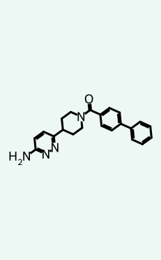 Nc1ccc(C2CCN(C(=O)c3ccc(-c4ccccc4)cc3)CC2)nn1